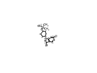 CC(C)(C)[Si](C)(C)O[C@H]1CC[C@H](n2nc(Br)c3cnc(Cl)cc32)CC1